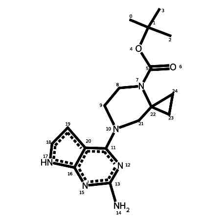 CC(C)(C)OC(=O)N1CCN(c2nc(N)nc3[nH]ccc23)CC12CC2